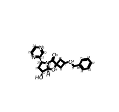 O=C1N2[C@H](OC13CC(OCc1ccccc1)C3)[C@@H](O)C[C@H]2c1cnccn1